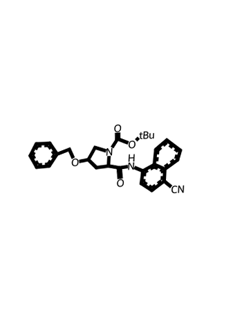 CC(C)(C)OC(=O)N1CC(OCc2ccccc2)CC1C(=O)Nc1ccc(C#N)c2ccccc12